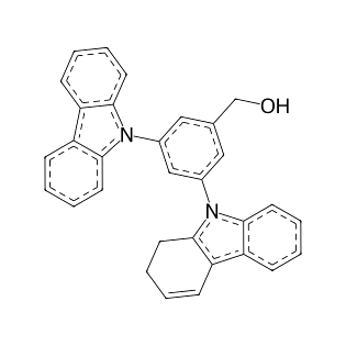 OCc1cc(-n2c3c(c4ccccc42)C=CCC3)cc(-n2c3ccccc3c3ccccc32)c1